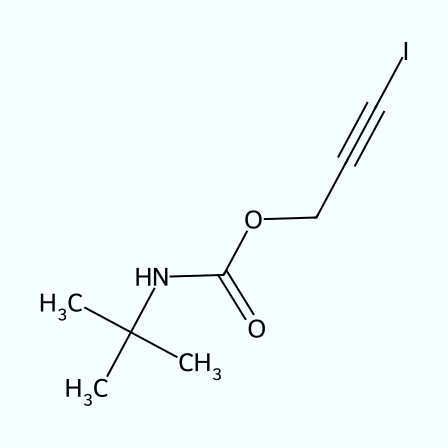 CC(C)(C)NC(=O)OCC#CI